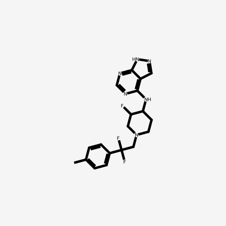 Cc1ccc(C(F)(F)CN2CCC(Nc3ncnc4[nH]ncc34)C(F)C2)cc1